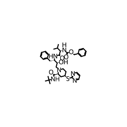 CC(C)[C@H](NC(=O)OCc1ccccc1)C(=O)N[C@@H](Cc1ccccc1)[C@H](O)CN1CC[C@@H](Sc2ncccn2)C[C@H]1C(=O)NC(C)(C)C